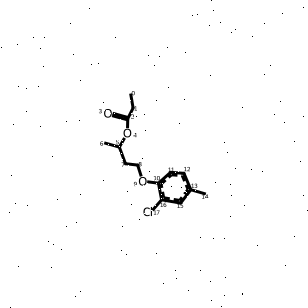 CCC(=O)OC(C)CCOc1ccc(C)cc1Cl